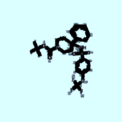 CC(C)(C)OC(=O)N1CCC(NS(=O)(=O)c2ccc(OC(F)(F)F)cc2)(c2ccccc2)CC1